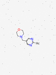 CC(=O)c1ncc(CN2CCOCC2)cn1